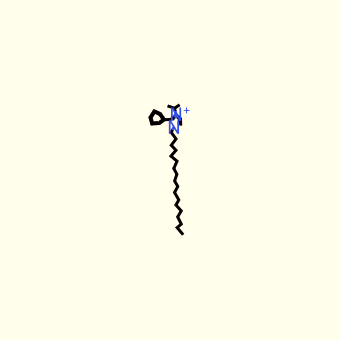 CCCCCCCCCCCCCCCCCCn1cc[n+](C(C)C)c1-c1ccccc1